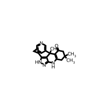 CC1(C)CC(=O)C2=C(C1)Nc1n[nH]c(C3CC3)c1C2(C)c1cncnc1